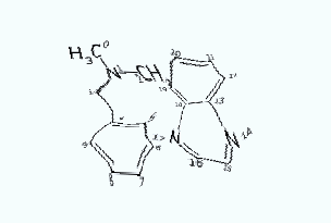 CN(C)Cc1ccccc1.c1ccc2nccnc2c1